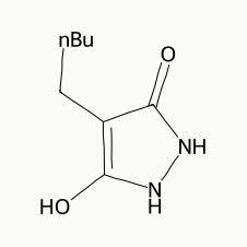 CCCCCc1c(O)[nH][nH]c1=O